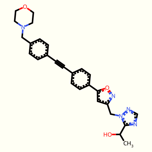 CC(O)c1ncnn1Cc1cc(-c2ccc(C#Cc3ccc(CN4CCOCC4)cc3)cc2)on1